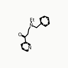 CCN(CCC(=O)c1cccnc1)Cc1ccccc1